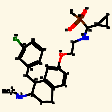 CCOC(=O)NC1CCc2ccc(OCCNC(C3CC3)S(C)(=O)=O)cc2C1Cc1cccc(Cl)c1